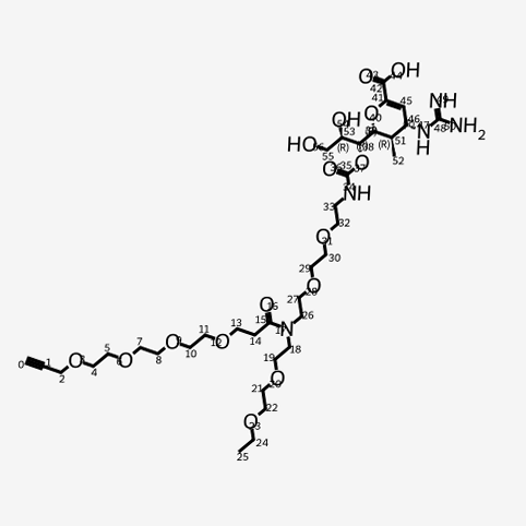 C#CCOCCOCCOCCOCCC(=O)N(CCOCCOCC)CCOCCOCCNC(=O)O[C@@H]([C@@H]1OC(C(=O)O)=C[C@H](NC(=N)N)[C@H]1C)[C@H](O)CO